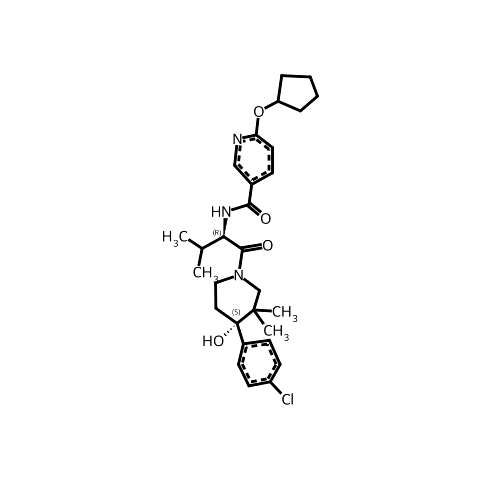 CC(C)[C@@H](NC(=O)c1ccc(OC2CCCC2)nc1)C(=O)N1CC[C@](O)(c2ccc(Cl)cc2)C(C)(C)C1